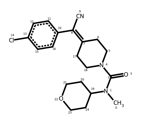 CN(C(=O)N1CCC(=C(C#N)c2ccc(Cl)cc2)CC1)C1CCOCC1